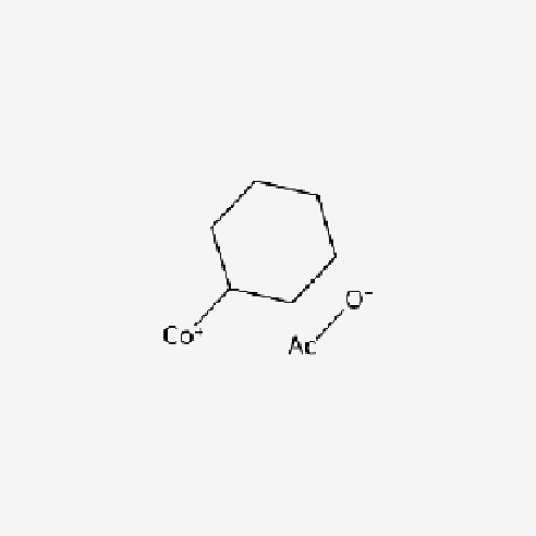 CC(=O)[O-].[Co+][CH]1CCCCC1